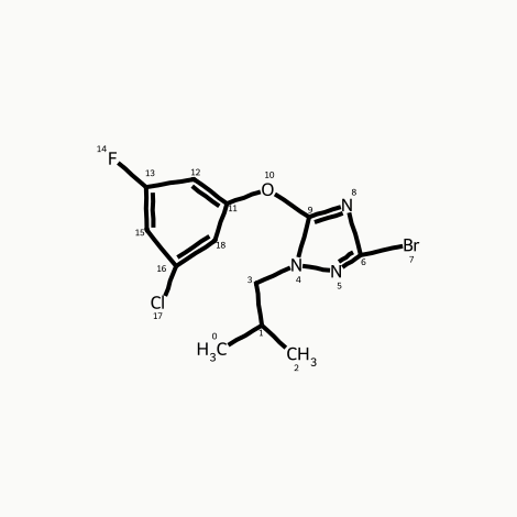 CC(C)Cn1nc(Br)nc1Oc1cc(F)cc(Cl)c1